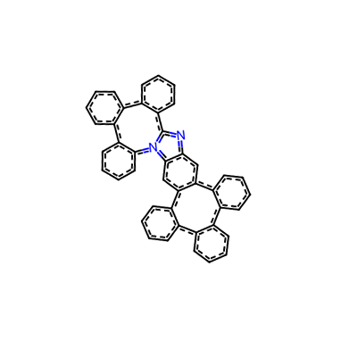 c1ccc2c(c1)c1ccccc1c1cc3nc4c5ccccc5c5ccccc5c5ccccc5n4c3cc1c1ccccc21